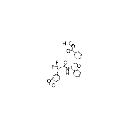 COC(=O)c1cccc([C@H]2C[C@@H](NC(=O)C3C(c4ccc5c(c4)OCO5)C3(F)F)c3ccccc3O2)c1